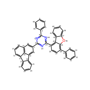 c1ccc(-c2nc(-c3cc4c5c(cccc5c3)-c3ccccc3-4)nc(-c3ccc(-c4ccccc4)c4oc5ccccc5c34)n2)cc1